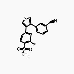 CS(=O)(=O)c1ccc(-c2cscc2-c2cccc(C#N)c2)cc1F